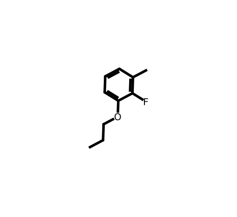 CCCOc1cccc(C)c1F